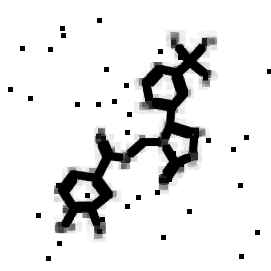 O=C(OCn1c(-c2cc(C(F)(F)F)ccn2)noc1=O)c1ccc(Cl)c(Cl)c1